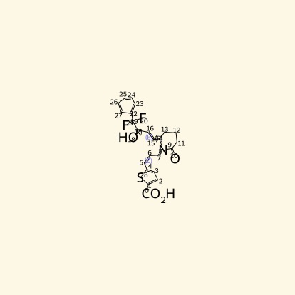 O=C(O)c1ccc(/C=C\CN2C(=O)CCC[C@@H]2/C=C/[C@@H](O)C(F)(F)c2ccccc2)s1